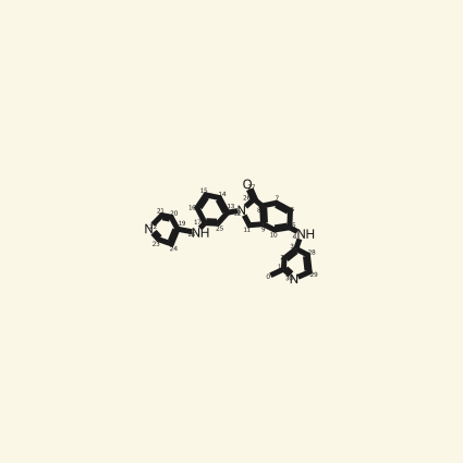 Cc1cc(Nc2ccc3c(c2)CN(c2cccc(Nc4ccncc4)c2)C3=O)ccn1